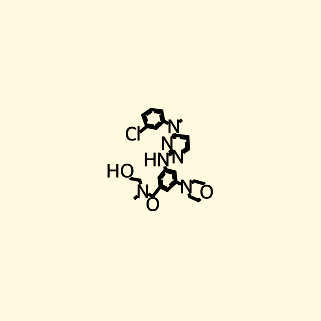 CN(CCO)C(=O)c1cc(Nc2nccc(N(C)c3cccc(Cl)c3)n2)cc(N2CCOCC2)c1